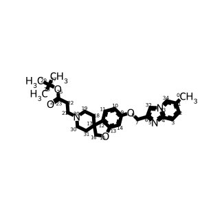 Cc1ccc2nc(COc3ccc4c(c3)OCC43CCN(CCC(=O)OC(C)(C)C)CC3)cn2c1